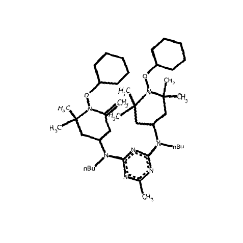 C=C1CC(N(CCCC)c2nc(C)nc(N(CCCC)C3CC(C)(C)N(OC4CCCCC4)C(C)(C)C3)n2)CC(C)(C)N1OC1CCCCC1